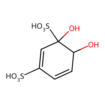 O=S(=O)(O)C1=CC(O)(S(=O)(=O)O)C(O)C=C1